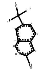 FC(F)(F)c1ccc2cc(Cl)ncc2c1